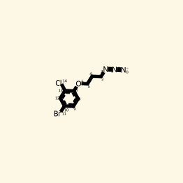 [N-]=[N+]=NCCCOc1ccc(Br)cc1Cl